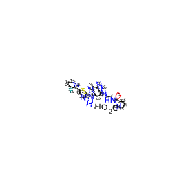 O=C(NCCn1cnc2cnc(Nc3ncc(-c4ncccc4F)s3)cc21)[C@@H]1CCCN1C(=O)O